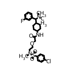 CN(C)C(c1cccc(F)c1)C1CCC(NC(=O)COCCN(C)S(=O)(=O)c2ccc(Cl)cc2)CC1